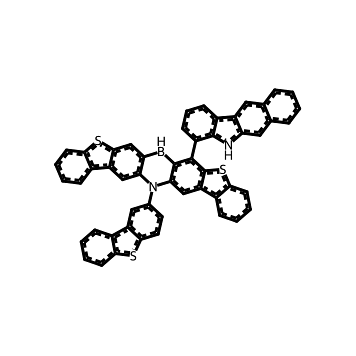 B1c2cc3sc4ccccc4c3cc2N(c2ccc3sc4ccccc4c3c2)c2cc3c(sc4ccccc43)c(-c3cccc4c3[nH]c3cc5ccccc5cc34)c21